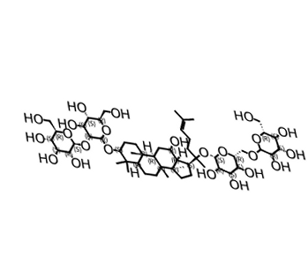 CC(C)=CCCC(C)(O[C@@H]1O[C@H](COC2O[C@H](CO)[C@@H](O)[C@H](O)[C@H]2O)[C@@H](O)[C@H](O)[C@H]1O)[C@H]1CC[C@]2(C)[C@@H]1[C@H](O)C[C@@H]1[C@@]3(C)CC[C@H](O[C@@H]4O[C@H](CO)[C@@H](O)[C@H](O)[C@H]4O[C@@H]4O[C@H](CO)[C@@H](O)[C@H](O)[C@H]4O)C(C)(C)[C@@H]3CC[C@]12C